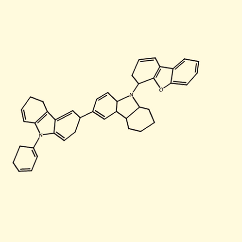 C1=CCCC(n2c3c(c4c2=CCC(C2=CC5C6CCCCC6N(C6CC=Cc7c6oc6ccccc76)C5C=C2)C=4)CCC=C3)=C1